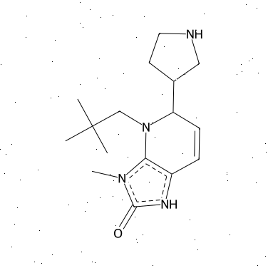 Cn1c2c([nH]c1=O)C=CC(C1CCNC1)N2CC(C)(C)C